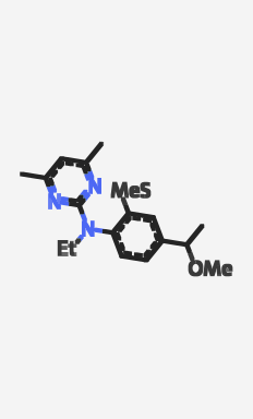 CCN(c1nc(C)cc(C)n1)c1ccc(C(C)OC)cc1SC